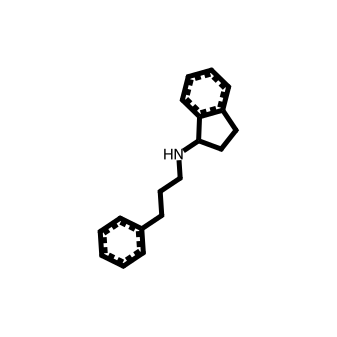 c1ccc(CCCNC2CCc3ccccc32)cc1